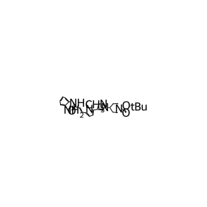 Cn1c(C=CC(=O)Nc2ccccc2N)ccc1-c1cnn(C2CCN(C(=O)OC(C)(C)C)CC2)c1